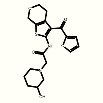 O=C(CN1CCCC(O)C1)Nc1sc2c(c1C(=O)c1ccco1)CCOC2